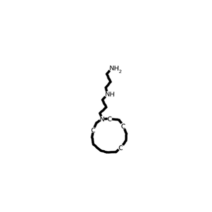 NCCCNCCCN1CCCCCCCCCCCCC1